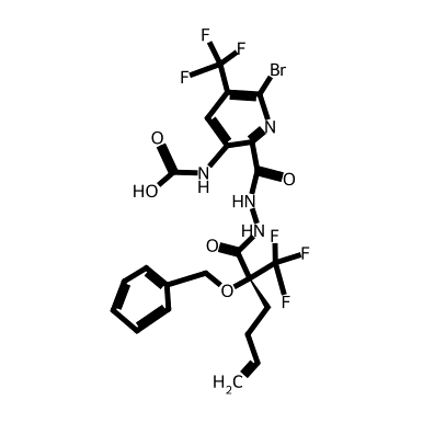 C=CCC[C@@](OCc1ccccc1)(C(=O)NNC(=O)c1nc(Br)c(C(F)(F)F)cc1NC(=O)O)C(F)(F)F